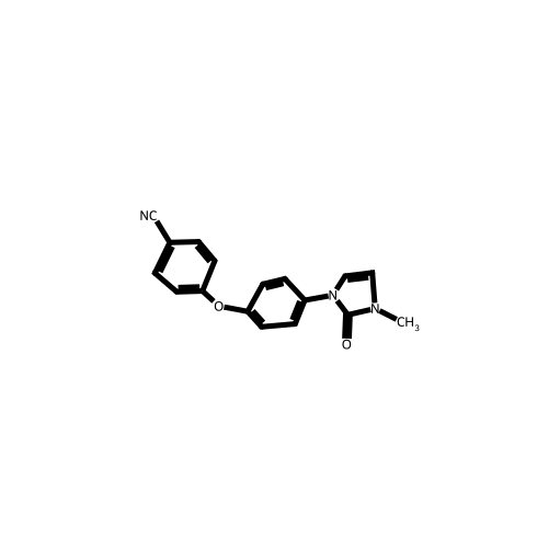 Cn1ccn(-c2ccc(Oc3ccc(C#N)cc3)cc2)c1=O